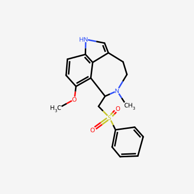 COc1ccc2[nH]cc3c2c1C(CS(=O)(=O)c1ccccc1)N(C)CC3